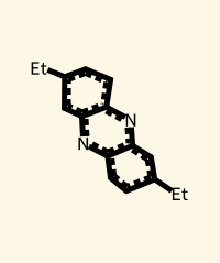 CCc1ccc2nc3cc(CC)ccc3nc2c1